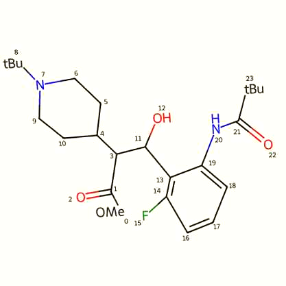 COC(=O)C(C1CCN(C(C)(C)C)CC1)C(O)c1c(F)cccc1NC(=O)C(C)(C)C